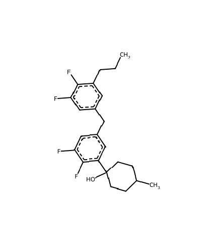 CCCc1cc(Cc2cc(F)c(F)c(C3(O)CCC(C)CC3)c2)cc(F)c1F